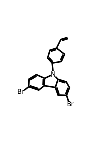 C=Cc1ccc(-n2c3ccc(Br)cc3c3cc(Br)ccc32)cc1